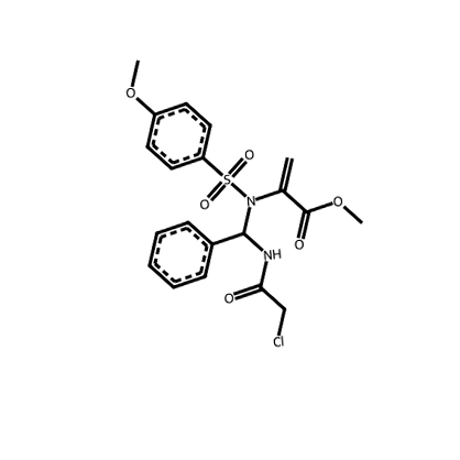 C=C(C(=O)OC)N(C(NC(=O)CCl)c1ccccc1)S(=O)(=O)c1ccc(OC)cc1